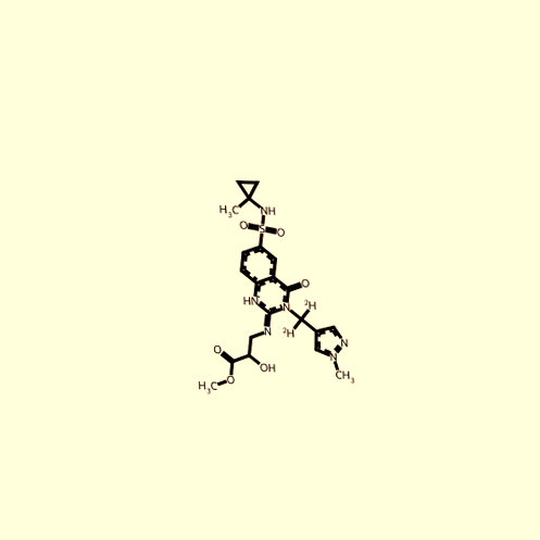 [2H]C([2H])(c1cnn(C)c1)n1c(=O)c2cc(S(=O)(=O)NC3(C)CC3)ccc2[nH]/c1=N\CC(O)C(=O)OC